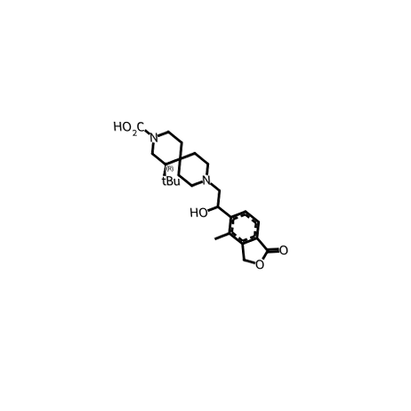 Cc1c(C(O)CN2CCC3(CC2)CCN(C(=O)O)C[C@@H]3C(C)(C)C)ccc2c1COC2=O